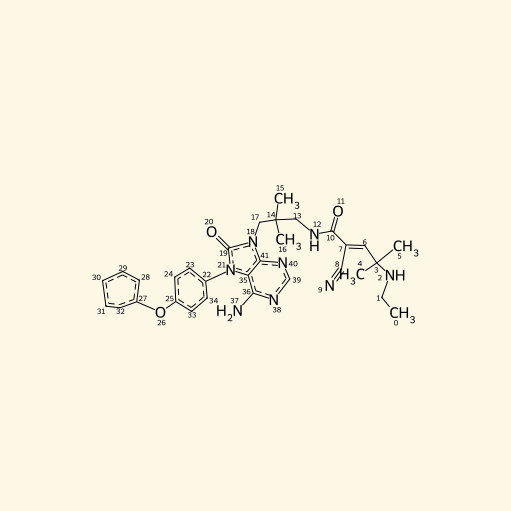 CCNC(C)(C)/C=C(\C#N)C(=O)NCC(C)(C)Cn1c(=O)n(-c2ccc(Oc3ccccc3)cc2)c2c(N)ncnc21